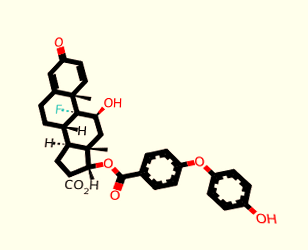 C[C@]12C=CC(=O)C=C1CC[C@H]1[C@@H]3CC[C@](OC(=O)c4ccc(Oc5ccc(O)cc5)cc4)(C(=O)O)[C@@]3(C)C[C@H](O)[C@@]12F